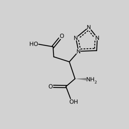 N[C@H](C(=O)O)C(CC(=O)O)n1cnnn1